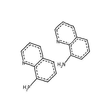 Nc1cccc2cccnc12.Pc1cccc2cccnc12